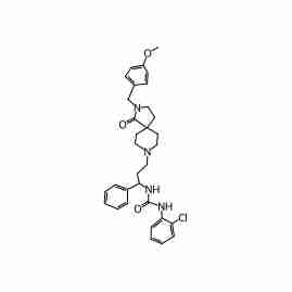 COc1ccc(CN2CCC3(CCN(CCC(NC(=O)Nc4ccccc4Cl)c4ccccc4)CC3)C2=O)cc1